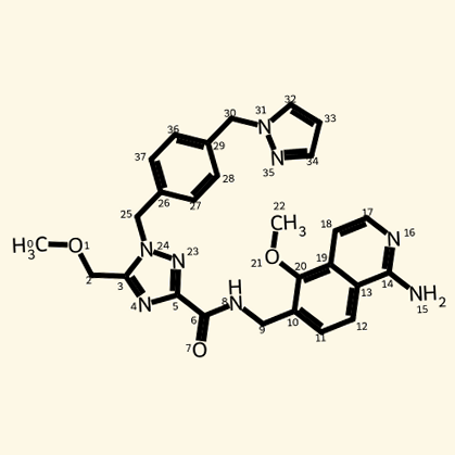 COCc1nc(C(=O)NCc2ccc3c(N)nccc3c2OC)nn1Cc1ccc(Cn2cccn2)cc1